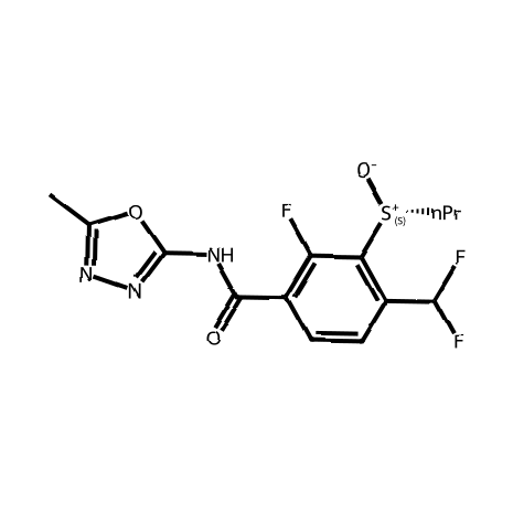 CCC[S@@+]([O-])c1c(C(F)F)ccc(C(=O)Nc2nnc(C)o2)c1F